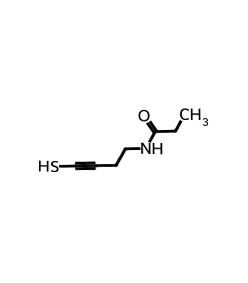 CCC(=O)NCCC#CS